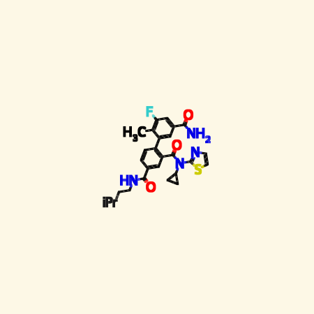 Cc1c(F)cc(C(N)=O)cc1-c1ccc(C(=O)NCCC(C)C)cc1C(=O)N(c1nccs1)C1CC1